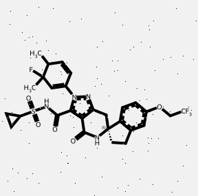 CC1C=CC(n2nc3c(c2C(=O)NS(=O)(=O)C2CC2)C(=O)N[C@@]2(CCc4cc(OCC(F)(F)F)ccc42)C3)=CC1(C)F